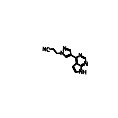 N#CCCn1cc(-c2ncnc3[nH]ccc23)cn1